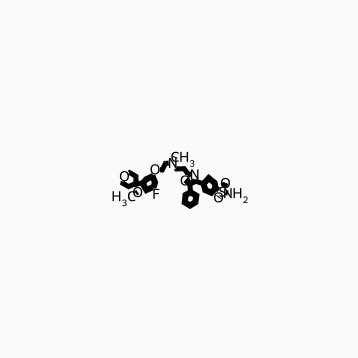 COC1(c2cc(F)cc(OCCN(C)CCc3nc(-c4ccc(S(N)(=O)=O)cc4)c(-c4ccccc4)o3)c2)CCOCC1